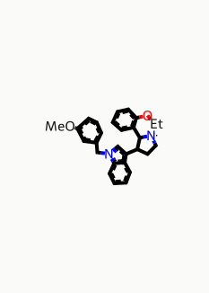 CCOc1ccccc1C1[N]CCC1c1cn(Cc2cccc(OC)c2)c2ccccc12